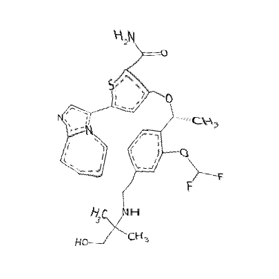 C[C@@H](Oc1cc(-c2cnc3ccccn23)sc1C(N)=O)c1ccc(CNC(C)(C)CO)cc1OC(F)F